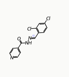 O=C(N/N=C/c1ccc(Cl)cc1Cl)c1ccncc1